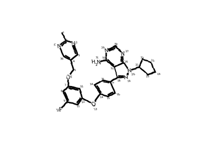 Cc1ncc(COc2cc(F)cc(Oc3ccc(-c4nn(C5CCCC5)c5ncnc(N)c45)cc3)c2)cn1